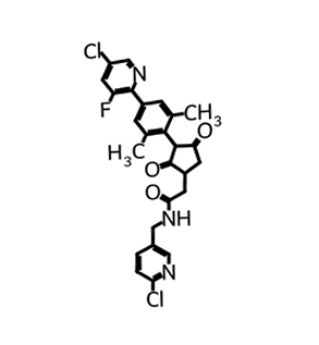 Cc1cc(-c2ncc(Cl)cc2F)cc(C)c1C1C(=O)CC(CC(=O)NCc2ccc(Cl)nc2)C1=O